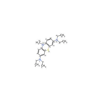 CCN(CC)c1ccc2c(c1)Sc1cc(N(CC)CC)ccc1N2C